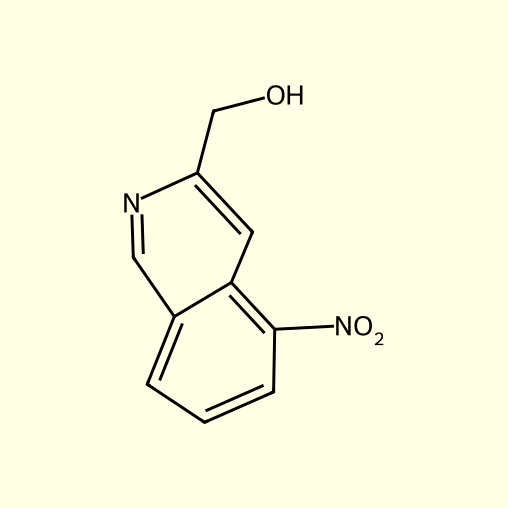 O=[N+]([O-])c1cccc2cnc(CO)cc12